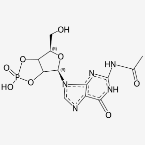 CC(=O)Nc1nc2c(ncn2[C@@H]2O[C@H](CO)C3OP(=O)(O)OC32)c(=O)[nH]1